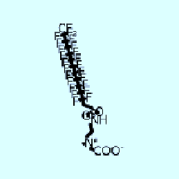 C[N+](C)(CCCNS(=O)(=O)CCC(F)(F)C(F)(F)C(F)(F)C(F)(F)C(F)(F)C(F)(F)C(F)(F)C(F)(F)C(F)(F)C(F)(F)C(F)(F)C(F)(F)F)CC(=O)[O-]